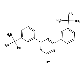 BC(B)(B)c1cccc(-c2nc(-c3cccc(C(B)(B)B)c3)nc(C(C)C)n2)c1